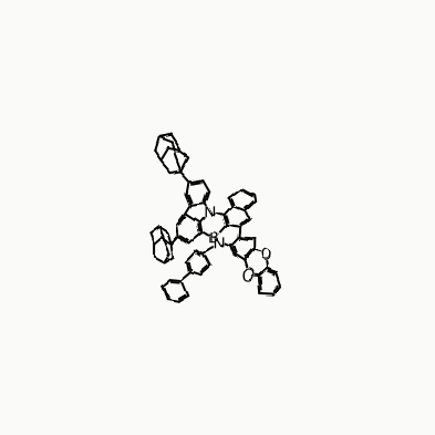 c1ccc(-c2ccc(N3B4c5c(cc6ccccc6c5-n5c6ccc(C78CC9CC(CC(C9)C7)C8)cc6c6cc(C78CC9CC(CC(C9)C7)C8)cc4c65)-c4cc5c(cc43)Oc3ccccc3O5)cc2)cc1